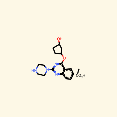 CC(=O)O.OC1CCC(Oc2nc(N3CCNCC3)nc3ccccc23)C1